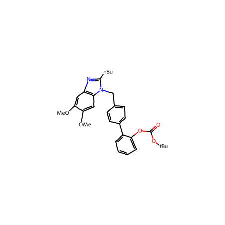 CCCCc1nc2cc(OC)c(OC)cc2n1Cc1ccc(-c2ccccc2OC(=O)OC(C)(C)C)cc1